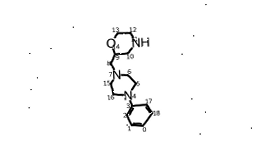 c1ccc(N2CCN(CC3CNCCO3)CC2)cc1